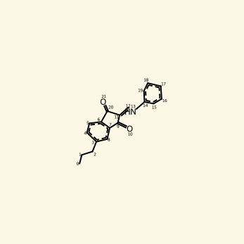 CCCc1ccc2c(c1)C(=O)/C(=C\Nc1ccccc1)C2=O